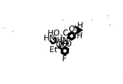 CC[C@H](OC1CCNC1)c1cc(F)ccc1S(=O)(=O)Nc1ccc2c(c1C(=O)O)OC[C@@H]1C[C@H]21